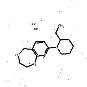 Br.Br.CCC1CCCCN1c1ccc2c(n1)OCCNC2